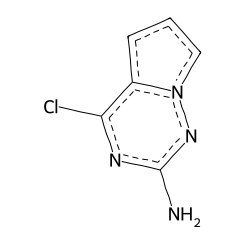 Nc1nc(Cl)c2cccn2n1